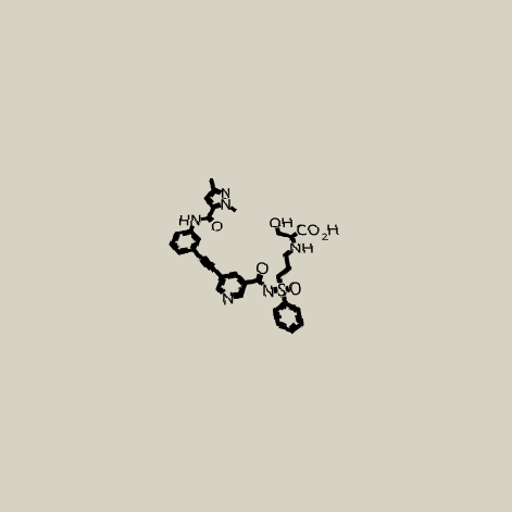 Cc1cc(C(=O)Nc2cccc(C#Cc3cncc(C(=O)N=S(=O)(CCCNC(CO)C(=O)O)c4ccccc4)c3)c2)n(C)n1